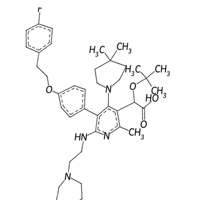 Cc1nc(NCCN2CCCCC2)c(-c2ccc(OCCc3ccc(F)cc3)cc2)c(N2CCC(C)(C)CC2)c1C(OC(C)(C)C)C(=O)O